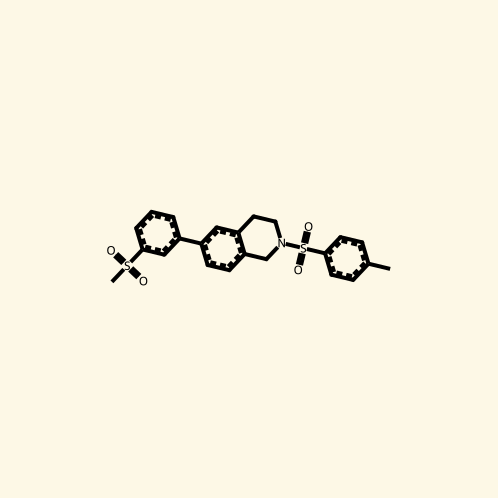 Cc1ccc(S(=O)(=O)N2CCc3cc(-c4cccc(S(C)(=O)=O)c4)ccc3C2)cc1